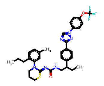 CCCc1ccc(C)cc1N1CCCS/C1=N\C(=O)NCC(CC)c1ccc(-c2ncn(-c3ccc(OC(F)(F)F)cc3)n2)cc1